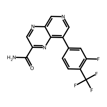 NC(=O)c1cnc2cncc(-c3ccc(C(F)(F)F)c(F)c3)c2n1